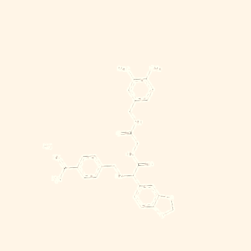 COc1ccc(CNC(=O)CNC(=O)C(NCc2ccc(C(=N)N)cc2)c2ccc3c(c2)OCO3)cc1OC.Cl